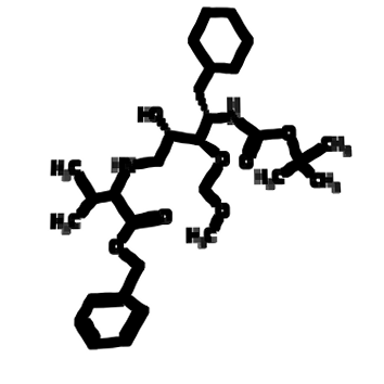 COCO[C@H]([C@H](CC1CCCCC1)NC(=O)OC(C)(C)C)[C@@H](O)CNC(C(=O)OCc1ccccc1)C(C)C